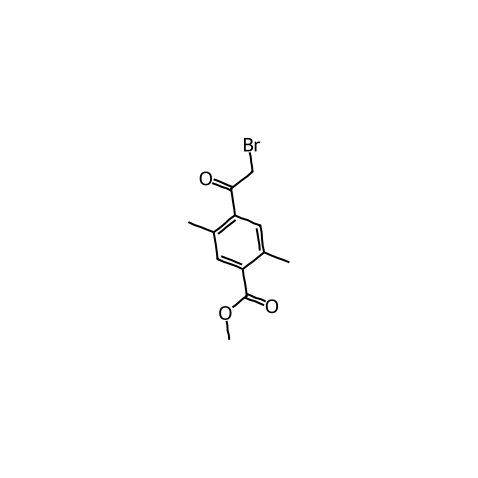 COC(=O)c1cc(C)c(C(=O)CBr)cc1C